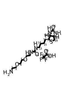 NCCOCCOCCNC(=O)NCCCC[C@@H]1SC[C@@H]2NC(=O)N[C@@H]21.O=C(O)C(F)(F)F